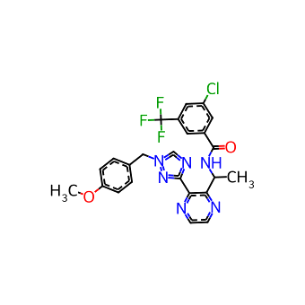 COc1ccc(Cn2cnc(-c3nccnc3C(C)NC(=O)c3cc(Cl)cc(C(F)(F)F)c3)n2)cc1